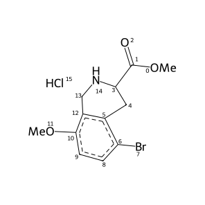 COC(=O)C1Cc2c(Br)ccc(OC)c2CN1.Cl